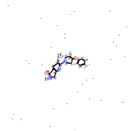 Cc1cc2c(nc1N1CC[C@@H](Oc3ccccc3)[C@@H](F)C1)CNC2=O